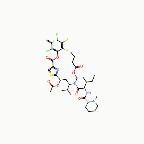 C=C(F)/C(F)=C(OC(=O)c1csc([C@@H](C[C@H](C(C)C)N(COC(=O)CCC)C(=O)[C@@H](NC(=O)[C@H]2CCCCN2C)C(C)CC)OC(C)=O)n1)\C(F)=C(\F)CF